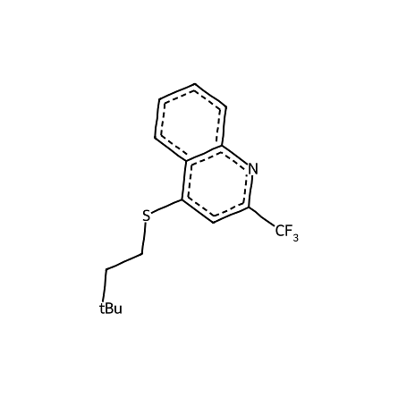 CC(C)(C)CCSc1cc(C(F)(F)F)nc2ccccc12